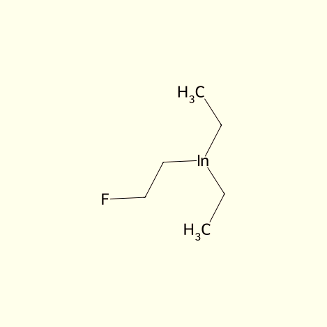 C[CH2][In]([CH2]C)[CH2]CF